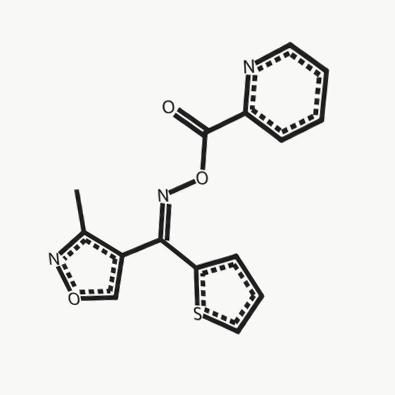 Cc1nocc1C(=NOC(=O)c1ccccn1)c1cccs1